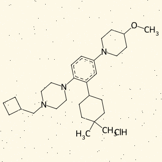 COC1CCN(c2ccc(N3CCN(CC4CCC4)CC3)c(C3CCC(C)(C)CC3)c2)CC1.Cl